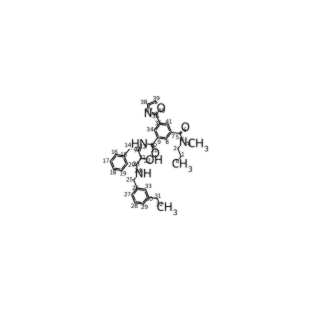 CCCN(C)C(=O)c1cc(C(=O)N[C@@H](Cc2ccccc2)C(O)CNCc2cccc(CC)c2)cc(-c2ncco2)c1